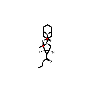 CCOC(=O)C1[C@H]2CN(C3CC4CCCC(C3)N4C(=O)OCC)C[C@@H]12